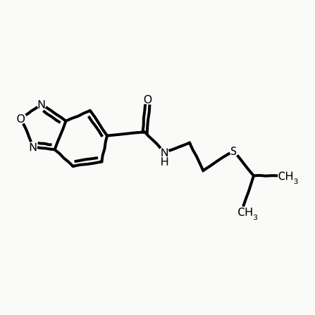 CC(C)SCCNC(=O)c1ccc2nonc2c1